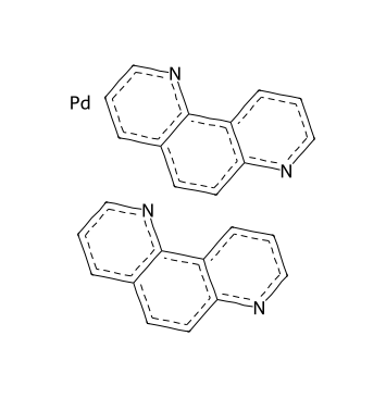 [Pd].c1cnc2c(c1)ccc1ncccc12.c1cnc2c(c1)ccc1ncccc12